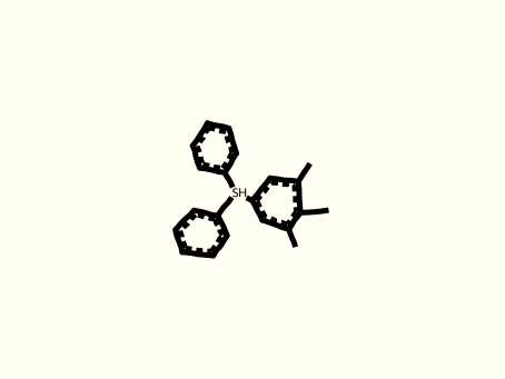 Cc1cc([SH](c2ccccc2)c2ccccc2)cc(C)c1C